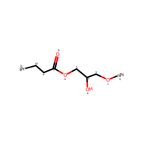 CCCOCC(O)COC(=O)CCC(C)C